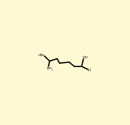 BC(CCCC)CCCCC(O)CC